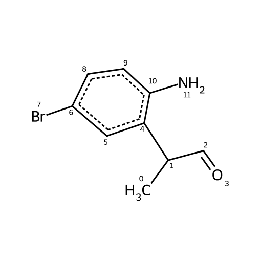 CC(C=O)c1cc(Br)ccc1N